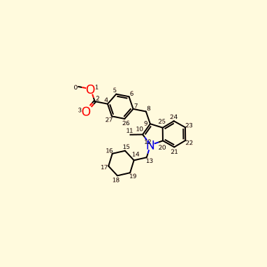 COC(=O)c1ccc(Cc2c(C)n(CC3CCCCC3)c3ccccc23)cc1